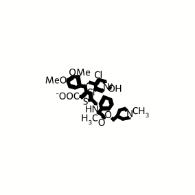 COc1ccc([C@H](Cc2c(Cl)c[n+](O)cc2Cl)c2cc(CNC(C)(C(=O)OCC3CCN(C)CC3)c3ccccc3)sc2C(=O)[O-])cc1OC